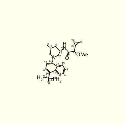 COC(C(=O)N[C@@H]1C[C@H](C)CN(c2ccc(C(F)(P)P)c3ncccc23)C1)C1CC1